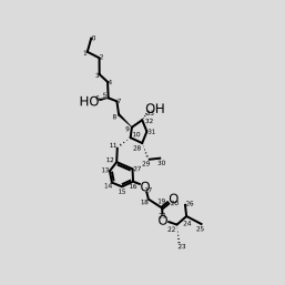 CCCCC[C@H](O)CC[C@@H]1[C@@H](Cc2cccc(OCC(=O)O[C@@H](C)C(C)C)c2)[C@@H](CC)C[C@H]1O